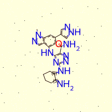 Cn1ncc2c(Nc3nc(N[C@@H]4CCCC[C@@H]4N)nnc3C(N)=O)cc(-c3cn[nH]c3)cc21